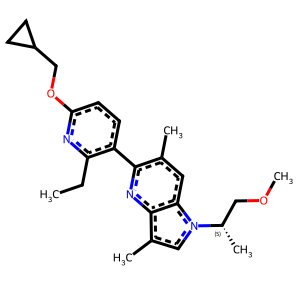 CCc1nc(OCC2CC2)ccc1-c1nc2c(C)cn([C@@H](C)COC)c2cc1C